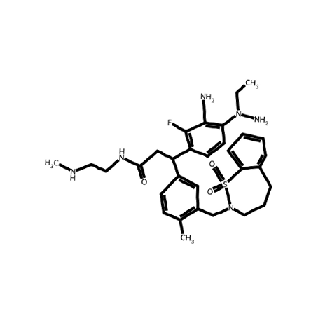 CCN(N)c1ccc(C(CC(=O)NCCNC)c2ccc(C)c(CN3CCCc4ccccc4S3(=O)=O)c2)c(F)c1N